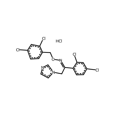 Cl.Clc1ccc(CO/N=C(\Cn2ccnc2)c2ccc(Cl)cc2Cl)c(Cl)c1